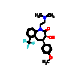 COc1ccc([C@@H]2Cc3c(cccc3C(F)(F)F)N(CCN(C)C)C(=O)[C@@H]2O)cc1